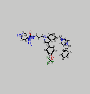 NC1(C(=O)NCCCn2cc(-c3ccc(OC(F)(F)F)cc3)c3cc(CN4CC5CC4CN5Cc4ccccc4)ccc32)CCNCC1